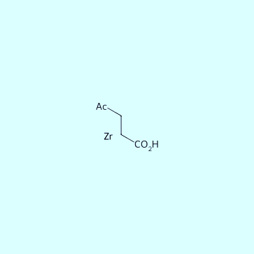 CC(=O)CCC(=O)O.[Zr]